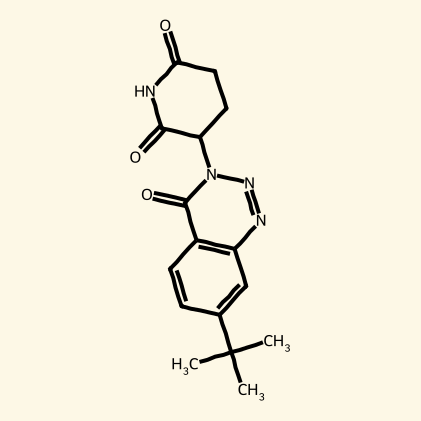 CC(C)(C)c1ccc2c(=O)n(C3CCC(=O)NC3=O)nnc2c1